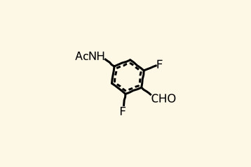 CC(=O)Nc1cc(F)c(C=O)c(F)c1